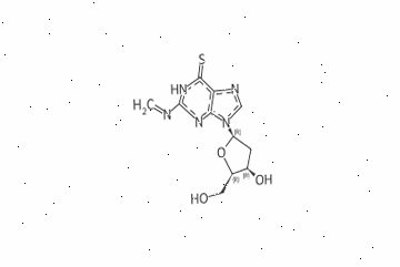 C=Nc1nc2c(ncn2[C@H]2C[C@@H](O)[C@@H](CO)O2)c(=S)[nH]1